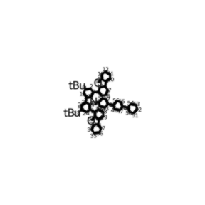 CC(C)(C)c1cc(C2=CC=CC3c4ccccc4OC23)c2c(c1)c1cc(C(C)(C)C)cc(-c3cccc4c3oc3ccccc34)c1n2-c1ccc(-c2ccc(-c3ccccc3)cc2)cc1